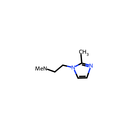 CNCCn1ccnc1C